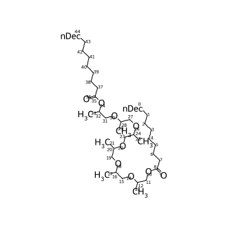 CCCCCCCCCCCCCCCCCC(=O)OCC(C)OCC(C)OCC(C)OCC(C)OCC(C)OCC(C)OC(=O)CCCCCCCCCCCCCCCCC